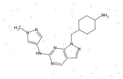 Cn1cc(Nc2ncc3cnn(CC4CCC(N)CC4)c3n2)cn1